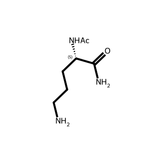 CC(=O)N[C@@H](CCCN)C(N)=O